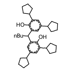 CCCCC(c1cc(C2CCCC2)cc(C2CCCC2)c1O)c1cc(C2CCCC2)cc(C2CCCC2)c1O